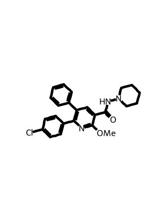 COc1nc(-c2ccc(Cl)cc2)c(-c2ccccc2)cc1C(=O)NN1CCCCC1